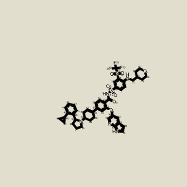 O=C(NS(=O)(=O)c1ccc(NCC2CCOCC2)c(S(=O)(=O)C(F)(F)F)c1)c1ccc(C2=CCC(N3CCCC3c3ccccc3C3CC3)CC2)cc1Oc1cnc2[nH]ccc2c1